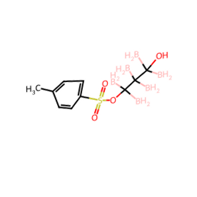 BC(B)(O)C(B)(B)C(B)(B)OS(=O)(=O)c1ccc(C)cc1